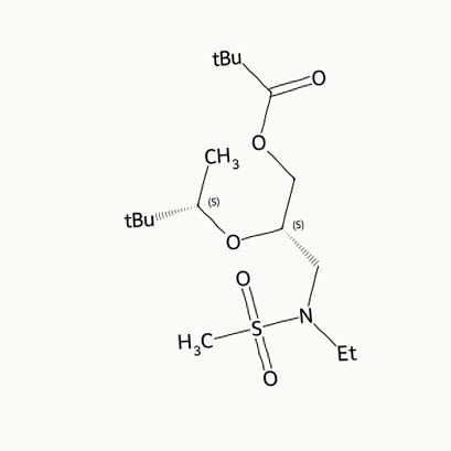 CCN(C[C@@H](COC(=O)C(C)(C)C)O[C@@H](C)C(C)(C)C)S(C)(=O)=O